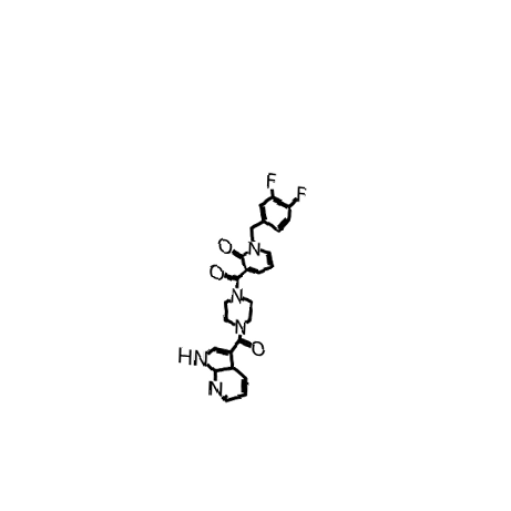 O=C(C1=CNC2N=CC=CC12)N1CCN(C(=O)c2cccn(Cc3ccc(F)c(F)c3)c2=O)CC1